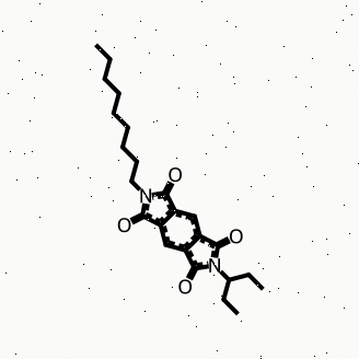 CCCCCCCCCn1c(=O)c2cc3c(=O)n(C(CC)CC)c(=O)c3cc2c1=O